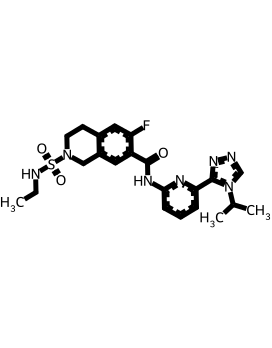 CCNS(=O)(=O)N1CCc2cc(F)c(C(=O)Nc3cccc(-c4nncn4C(C)C)n3)cc2C1